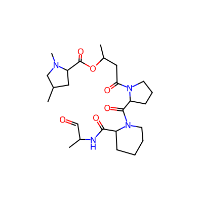 CC1CC(C(=O)OC(C)CC(=O)N2CCCC2C(=O)N2CCCCC2C(=O)NC(C)C=O)N(C)C1